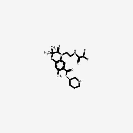 Cc1cc2c(cc1C(=O)S[C@@H]1CCCNC1)N(CCNC(=O)C(F)F)C(=O)C(C)(C)S2